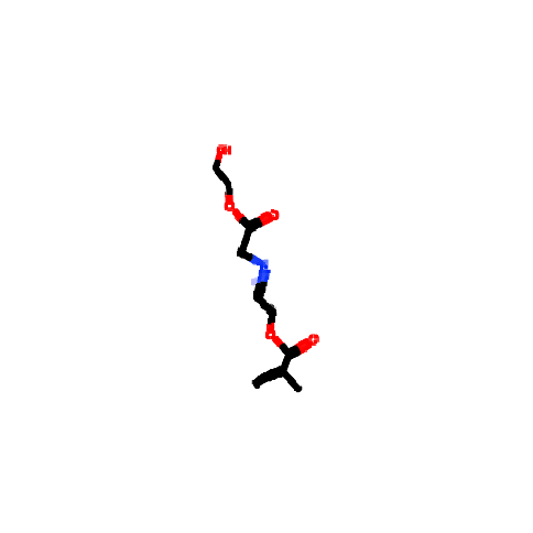 C=C(C)C(=O)OC/C=N/CC(=O)OCCO